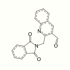 O=Cc1cc2ccccc2nc1CN1C(=O)c2ccccc2C1=O